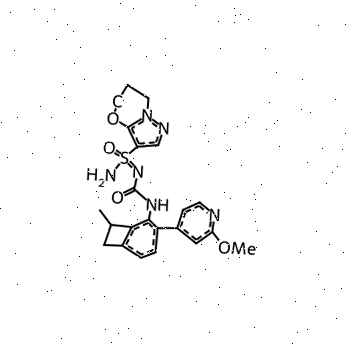 COc1cc(-c2ccc3c(c2NC(=O)N=S(N)(=O)c2cnn4c2OCCC4)C(C)C3)ccn1